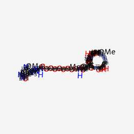 COc1ccc(-c2ccc3ncc4c(c3c2)n(-c2ccc(N3CCN(c5ncc(CNC(=O)CCOCCOCCOCCOCCOCCOCCOCCOCCNC(=O)O[C@@H]6CC[C@@H](C[C@@H](C)[C@@H]7CC(=O)[C@H](C)/C=C(\C)[C@@H](O)[C@@H](O)C(=O)[C@H](C)C[C@H](C)/C=C/C=C/C=C(\C)[C@@H](OC)C[C@@H]8CC[C@@H](C)[C@@](O)(O8)C(=O)C(=O)N8CCCC[C@H]8C(=O)O7)C[C@H]6OC)cn5)CC3)c(C(F)(F)F)c2)c(=O)n4C)cn1